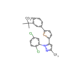 CC(C)(C(=O)O)c1cccc(-c2ccc(-c3cc(C(F)(F)F)nn3-c3cc(Cl)ccc3Cl)s2)c1